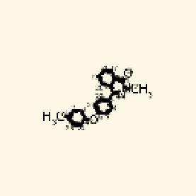 Cc1ccc(Oc2ccc(-c3nn(C)c(=O)c4ccccc34)cc2)cc1